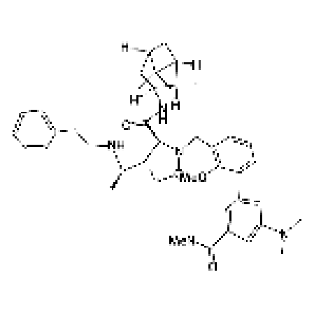 CNC(=O)c1cc(-c2cccc(CN3OC[C@H]([C@@H](C)NCCc4ccccc4)[C@H]3C(=O)N[C@H]3C[C@H]4C[C@@H]([C@@H]3C)C4(C)C)c2OC)cc(N(C)C)c1